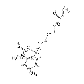 C=CC(=O)OCCCCCSc1cc(=S)n(C)c2cc(C)ccc12